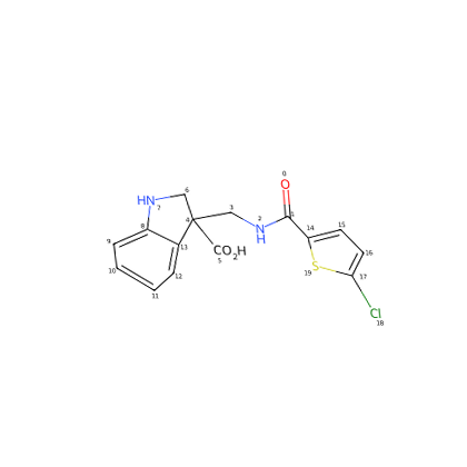 O=C(NCC1(C(=O)O)CNc2ccccc21)c1ccc(Cl)s1